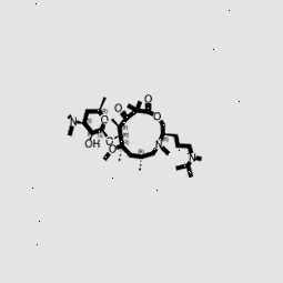 CO[C@]1(C)C[C@@H](C)CN(C)[C@H](CCCN(C)C(C)C)COC(=O)C(C)(C)C(=O)[C@H](C)[C@H]1O[C@@H]1O[C@H](C)C[C@H](N(C)C)[C@H]1O